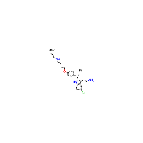 COCCCNCCCCOc1ccc(C(CC(C)C)c2[nH]c3ccc(Cl)cc3c2CCN)cc1